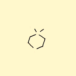 O[N+]1(O)CCOCC1